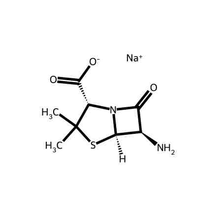 CC1(C)S[C@@H]2[C@H](N)C(=O)N2[C@H]1C(=O)[O-].[Na+]